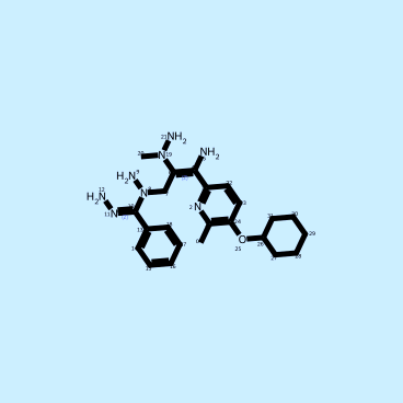 Cc1nc(/C(N)=C(\CN(N)/C(=N\N)c2ccccc2)N(C)N)ccc1OC1CCCCC1